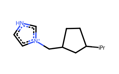 CC(C)C1CCC(C[n+]2cc[nH]c2)C1